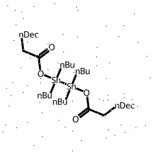 CCCCCCCCCCCC(=O)[O][Sn]([CH2]CCC)([CH2]CCC)[Sn]([CH2]CCC)([CH2]CCC)[O]C(=O)CCCCCCCCCCC